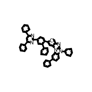 c1ccc(-c2ccc3c(c2)n2c4cc(-c5ccc(-c6nc(-c7ccccc7)cc(-c7ccccc7)n6)cc5-c5ccccc5)ccc4nc2n3-c2ccccc2)cc1